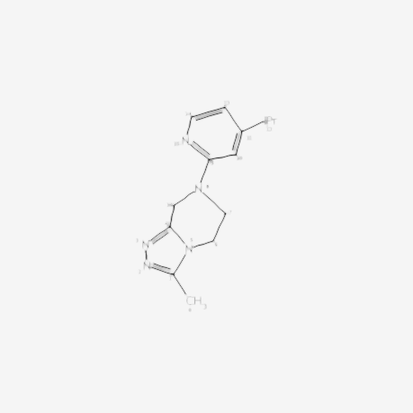 Cc1nnc2n1CCN(c1cc(C(C)C)ccn1)C2